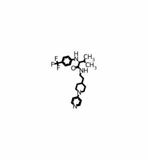 CC(C)[C@@H](Nc1ccc(C(F)(F)F)cc1)C(=O)NCCC1CCN(c2ccncc2)CC1